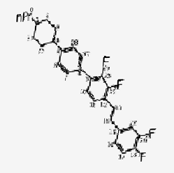 CCCC1CCC(c2ccc(-c3ccc(CCc4ccc(F)c(F)c4)c(F)c3F)cc2)CC1